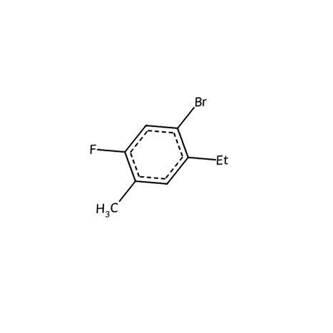 CCc1cc(C)c(F)cc1Br